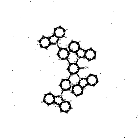 N#Cc1c(-n2c3ccccc3c3ccccc32)c(-c2ccc(-n3c4ccccc4c4ccccc43)cn2)cc(-c2ccc(-n3c4ccccc4c4ccccc43)cn2)c1-n1c2ccccc2c2ccccc21